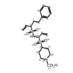 C=CC(CCc1ccccc1)S(=O)(=O)NC(C=C)S(=O)(=O)C1CCN(C(=O)O)CC1